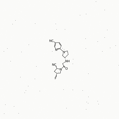 N#Cc1ccc(N2CC[C@H](NCC(=O)N3C[C@@H](F)C[C@H]3C#N)C2)nc1